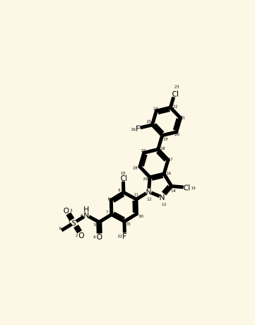 CS(=O)(=O)NC(=O)c1cc(Cl)c(-n2nc(Cl)c3cc(-c4ccc(Cl)cc4F)ccc32)cc1F